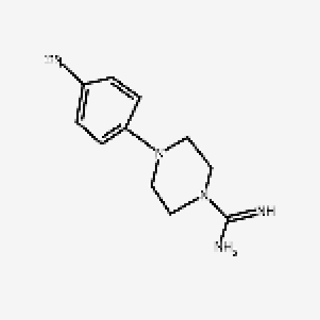 N=C(N)N1CCN(c2ccc([125I])cc2)CC1